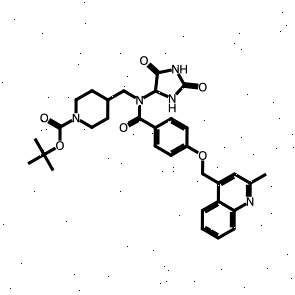 Cc1cc(COc2ccc(C(=O)N(CC3CCN(C(=O)OC(C)(C)C)CC3)C3NC(=O)NC3=O)cc2)c2ccccc2n1